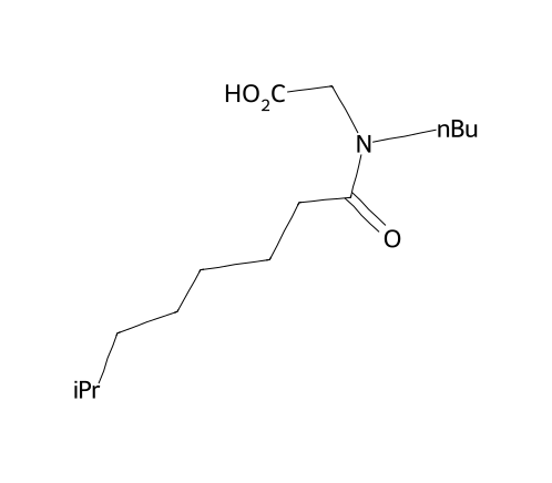 CCCCN(CC(=O)O)C(=O)CCCCCC(C)C